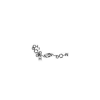 COc1ccc(S(=O)(=O)NCCN2CC3CN(CCCOc4ccc(C#N)cc4)CC(C2)O3)cc1